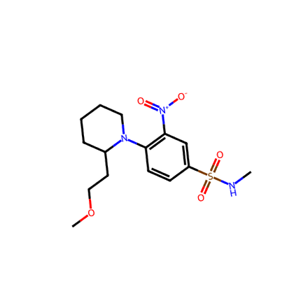 CNS(=O)(=O)c1ccc(N2CCCCC2CCOC)c([N+](=O)[O-])c1